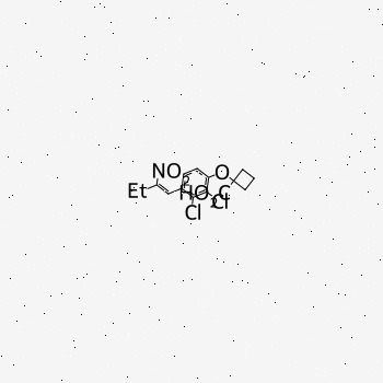 CCC(=Cc1ccc(OC2(C(=O)O)CCC2)c(Cl)c1Cl)[N+](=O)[O-]